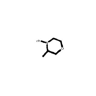 CC[CH]N1CCOCC1C